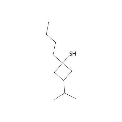 CCCCC1(S)CC(C(C)C)C1